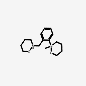 C[Si]1(c2ccccc2C[SiH]2CCCCO2)CCCCO1